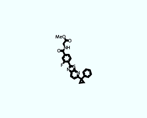 COC(=O)CNC(=O)c1ccc(-c2nc3ccc(C4(c5ccccc5)CC4)nc3s2)c(F)c1